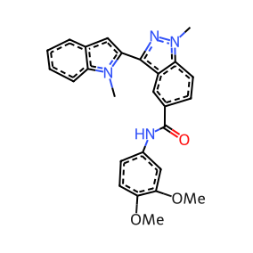 COc1ccc(NC(=O)c2ccc3c(c2)c(-c2cc4ccccc4n2C)nn3C)cc1OC